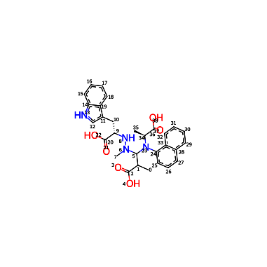 CC(C(=O)O)C(N(C)N[C@@H](Cc1c[nH]c2ccccc12)C(=O)O)N(c1cccc2ccccc12)[C@@H](C)C(=O)O